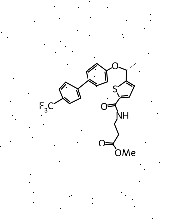 COC(=O)CCNC(=O)c1ccc([C@@H](C)Oc2ccc(-c3ccc(C(F)(F)F)cc3)cc2)s1